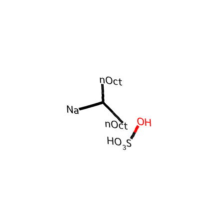 CCCCCCCC[CH]([Na])CCCCCCCC.O=S(=O)(O)O